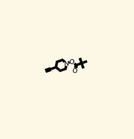 C#CC1CCN(OC(=O)C(C)(C)C)CC1